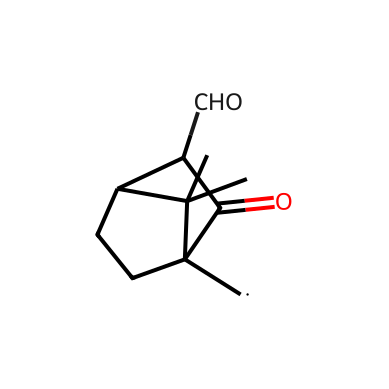 [CH2]C12CCC(C(C=O)C1=O)C2(C)C